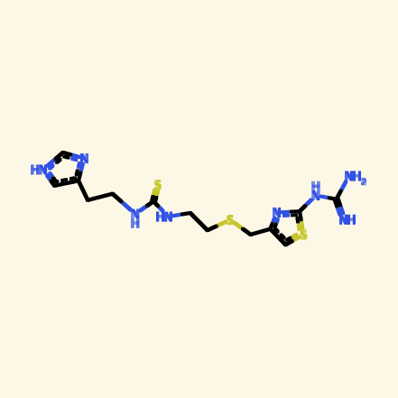 N=C(N)Nc1nc(CSCCNC(=S)NCCc2c[nH]cn2)cs1